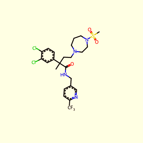 CC(CCN1CCCN(S(C)(=O)=O)CC1)(C(=O)NCc1ccc(C(F)(F)F)nc1)c1ccc(Cl)c(Cl)c1